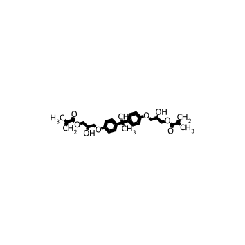 C=C(C)C(=O)OCC(O)COc1ccc(C(C)(C)c2ccc(OC[C@@H](O)COC(=O)C(=C)C)cc2)cc1